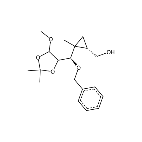 COC1OC(C)(C)OC1[C@H](OCc1ccccc1)C1(C)C[C@@H]1CO